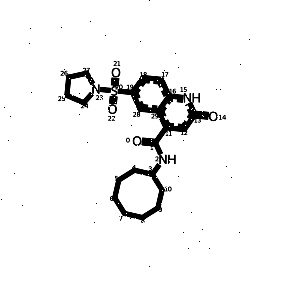 O=C(NC1CCCCCCC1)c1cc(=O)[nH]c2ccc(S(=O)(=O)N3CCCC3)cc12